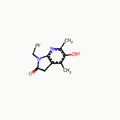 Cc1nc2c(c(C)c1O)CC(=O)N2CC(C)C